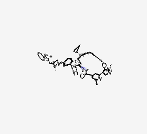 Cc1cc2cc(n1)-c1cnn(C)c1OCCC[C@@H](C1CC1)CN1/C(=N/C2=O)Nc2cc(N3C[C@H](C[S+]=O)[C@H]3C)ccc21